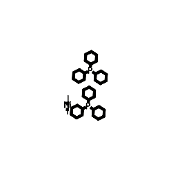 C1CCC(P(C2CCCCC2)C2CCCCC2)CC1.C1CCC(P(C2CCCCC2)C2CCCCC2)CC1.[I][Ni][I]